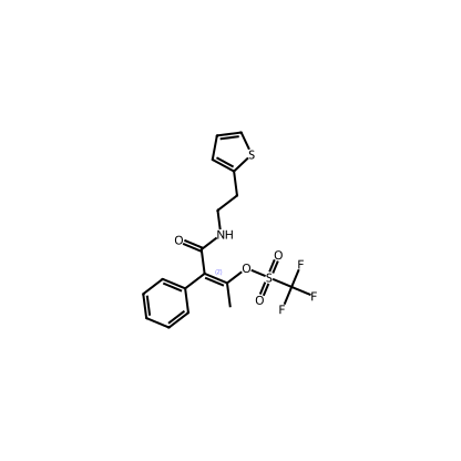 C/C(OS(=O)(=O)C(F)(F)F)=C(/C(=O)NCCc1cccs1)c1ccccc1